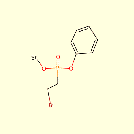 CCOP(=O)(CCBr)Oc1ccccc1